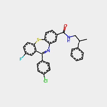 CC(CNC(=O)c1ccc2c(c1)N=C(c1ccc(Cl)cc1)c1cc(F)ccc1S2)c1ccccc1